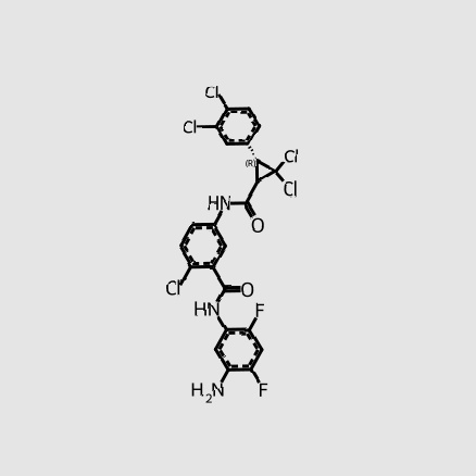 Nc1cc(NC(=O)c2cc(NC(=O)C3[C@H](c4ccc(Cl)c(Cl)c4)C3(Cl)Cl)ccc2Cl)c(F)cc1F